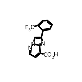 O=C(O)c1ccnn2cc(-c3ccccc3C(F)(F)F)nc12